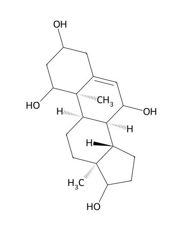 C[C@]12CC[C@@H]3[C@@H](C(O)C=C4CC(O)CC(O)[C@@]43C)[C@@H]1CCC2O